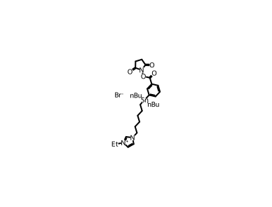 CCC[CH2][Sn]([CH2]CCC)([CH2]CCCCCn1cc[n+](CC)c1)[c]1cccc(C(=O)ON2C(=O)CCC2=O)c1.[Br-]